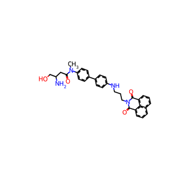 CN(C(=O)CC(N)CO)c1ccc(-c2ccc(NCCCN3C(=O)c4cccc5cccc(c45)C3=O)cc2)cc1